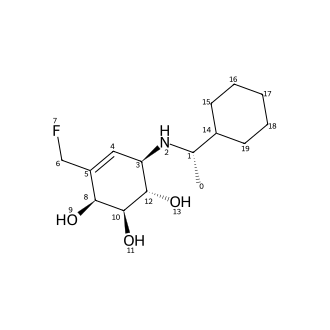 C[C@H](N[C@@H]1C=C(CF)[C@H](O)[C@H](O)[C@H]1O)C1CCCCC1